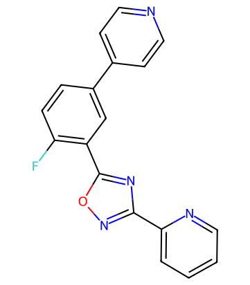 Fc1ccc(-c2ccncc2)cc1-c1nc(-c2ccccn2)no1